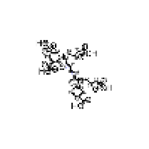 O=C(O)c1ccc2oc(/C=C/C=C3\Oc4c(cc(S(=O)(=O)O)cc4S(=O)(=O)O)N3CCCS(=O)(=O)O)[n+](CCCS(=O)(=O)O)c2c1